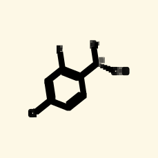 O=C[C@@H](Br)c1ccc(Cl)cc1F